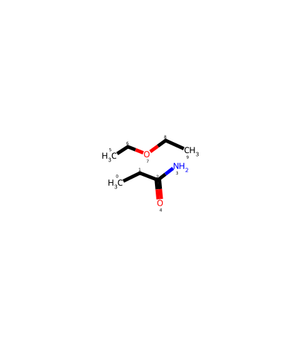 CCC(N)=O.CCOCC